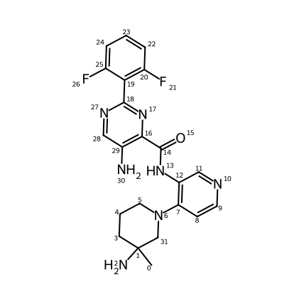 CC1(N)CCCN(c2ccncc2NC(=O)c2nc(-c3c(F)cccc3F)ncc2N)C1